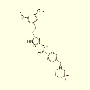 COc1cc(CCc2cc(NC(=O)c3ccc(CN4CCCC(C)(C)C4)cc3)n[nH]2)cc(OC)c1